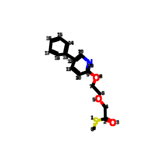 CSC(=O)COCCOc1ccc(-c2ccccc2)cn1